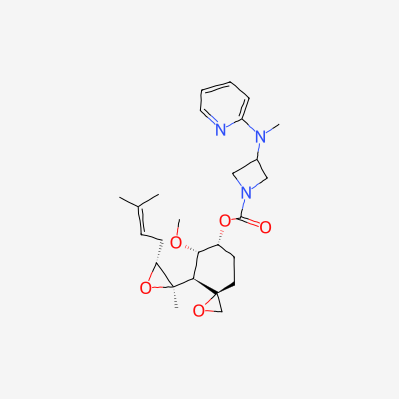 CO[C@@H]1[C@H](OC(=O)N2CC(N(C)c3ccccn3)C2)CC[C@]2(CO2)[C@H]1[C@@]1(C)O[C@@H]1CC=C(C)C